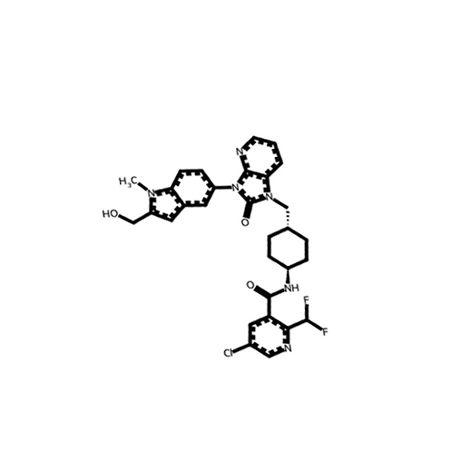 Cn1c(CO)cc2cc(-n3c(=O)n(C[C@H]4CC[C@H](NC(=O)c5cc(Cl)cnc5C(F)F)CC4)c4cccnc43)ccc21